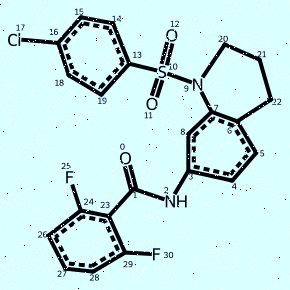 O=C(Nc1ccc2c(c1)N(S(=O)(=O)c1ccc(Cl)cc1)CCC2)c1c(F)cccc1F